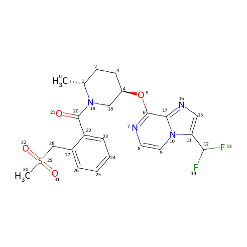 C[C@@H]1CC[C@@H](Oc2nccn3c(C(F)F)cnc23)CN1C(=O)c1ccccc1CS(C)(=O)=O